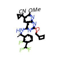 COc1nc2nc(OCC3CCC3)nc(N[C@H](C)c3cccc(C(F)F)c3F)c2cc1C1(C#N)CC1